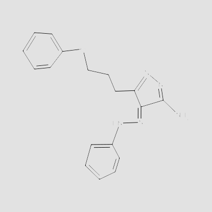 NC1=NN=C(CCCOc2ccccc2)/C1=N\Nc1ccccc1